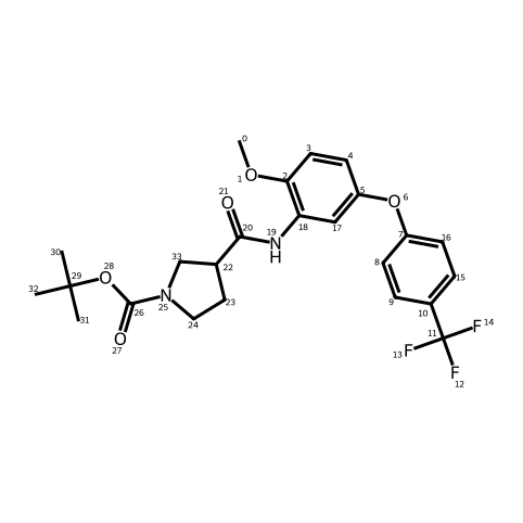 COc1ccc(Oc2ccc(C(F)(F)F)cc2)cc1NC(=O)C1CCN(C(=O)OC(C)(C)C)C1